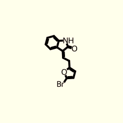 O=C1Nc2ccccc2C1=CCc1ccc(Br)o1